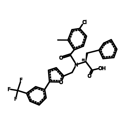 Cc1cc(Cl)ccc1C(=O)N(Cc1ccc(-c2cccc(C(F)(F)F)c2)o1)[C@@H](Cc1ccccc1)C(=O)O